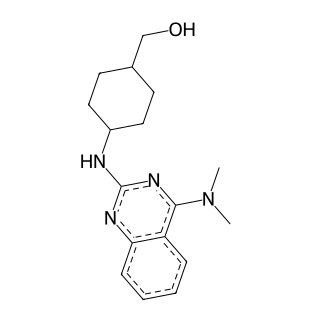 CN(C)c1nc(NC2CCC(CO)CC2)nc2ccccc12